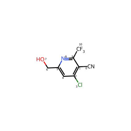 N#Cc1c(Cl)cc(CO)nc1C(F)(F)F